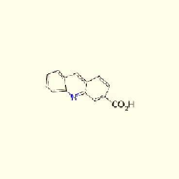 O=C(O)c1ccc2cc3ccccc3nc2c1